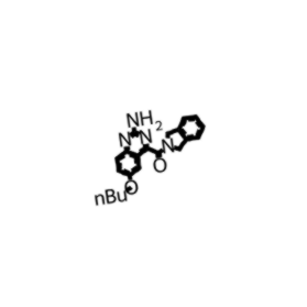 CCCCOc1ccc2nc(N)nc(C(=O)N3Cc4ccccc4C3)c2c1